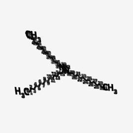 CCCCCCCCCCCCCCCCC1N(CCCCCCCCCCCCCC)C=CN1CCCCCCCCCCCCCC